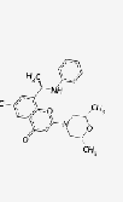 Cc1cc([C@@H](C)Nc2ccccc2)c2oc(N3C[C@@H](C)O[C@@H](C)C3)cc(=O)c2c1